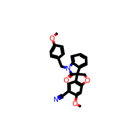 COc1ccc(CN2C(=O)C3(COc4cc(OC)c(C#N)cc43)c3ccccc32)cc1